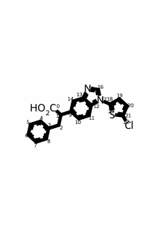 O=C(O)C(Cc1ccccc1)c1ccc2c(c1)ncn2-c1ccc(Cl)s1